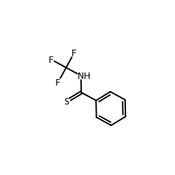 FC(F)(F)NC(=S)c1ccccc1